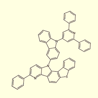 c1ccc(-c2cc(-n3c4ccccc4c4cc(-n5c6ccc(-c7ccccc7)nc6c6ccc7sc8ccccc8c7c65)ccc43)cc(-c3ccccc3)n2)cc1